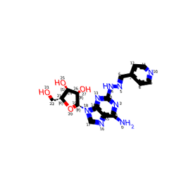 Nc1nc(NN=Cc2ccncc2)nc2c1ncn2[C@@H]1O[C@H](CO)[C@@H](O)[C@H]1O